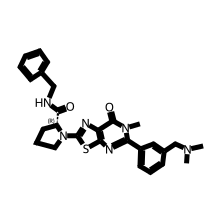 CN(C)Cc1cccc(-c2nc3sc(N4CCC[C@@H]4C(=O)NCc4ccccc4)nc3c(=O)n2C)c1